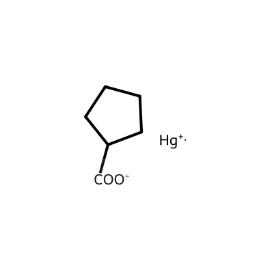 O=C([O-])C1CCCC1.[Hg+]